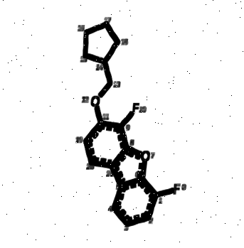 Fc1cccc2c1oc1c(F)c(OCC3CCCC3)ccc12